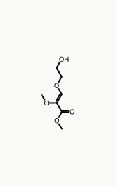 COC(=O)C(=COCCO)OC